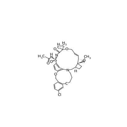 CO[C@H]1/C=C/COC(C)(C)C(=O)N=[S@](=O)(NC(C)=O)c2ccc3c(c2)N(CCCCc2cc(Cl)ccc2CO3)C[C@@H]2CC[C@H]21